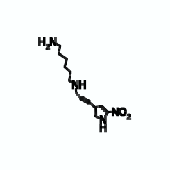 NCCCCCCNCC#Cc1c[nH]c([N+](=O)[O-])c1